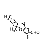 CC1CC2CC(C)(COc3cc(F)c(C=O)cc3C3CC3)CC2C1